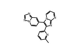 Cc1cccc(-c2nc3ncccn3c2-c2ccn3ncnc3c2)n1